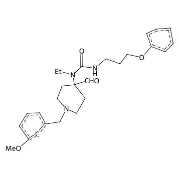 CCN(C(=O)NCCCOc1ccccc1)C1(C=O)CCN(Cc2cccc(OC)c2)CC1